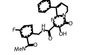 CNC(=O)c1cc(F)ccc1CNC(=O)c1nc2n(c(=O)c1O)CCC=C2c1ccccc1